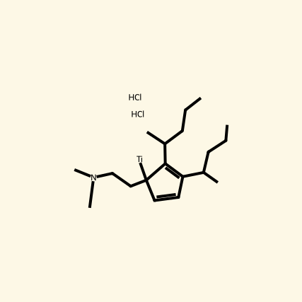 CCCC(C)C1=C(C(C)CCC)[C]([Ti])(CCN(C)C)C=C1.Cl.Cl